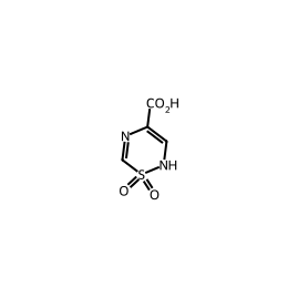 O=C(O)C1=CNS(=O)(=O)C=N1